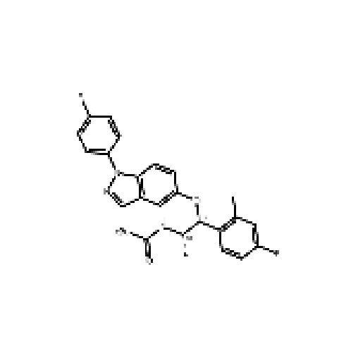 Cc1cc(F)ccc1[C@H](Oc1ccc2c(cnn2-c2ccc(F)cc2)c1)[C@H](C)NC(=O)C(C)(C)C